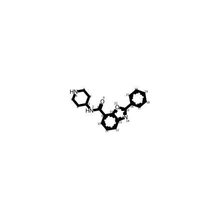 O=C(NC1CCNCC1)c1cccc2nc(-c3ccccc3)oc12